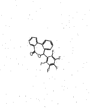 O=C1OC(c2c(F)c(F)c(F)c(F)c2F)c2ccccc2-c2ccccc21